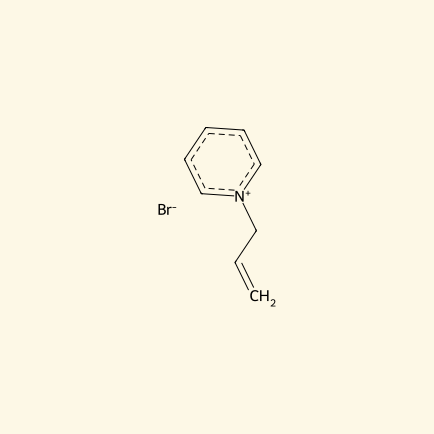 C=CC[n+]1ccccc1.[Br-]